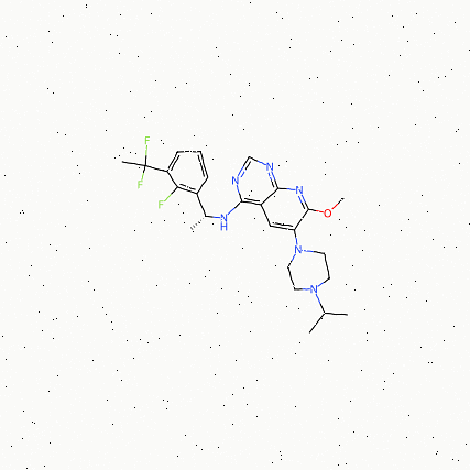 COc1nc2ncnc(N[C@H](C)c3cccc(C(C)(F)F)c3F)c2cc1N1CCN(C(C)C)CC1